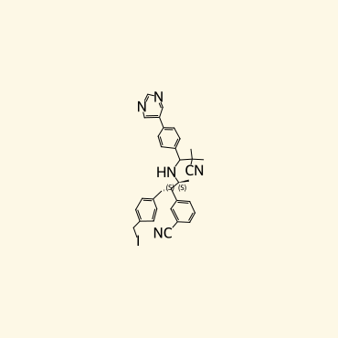 C[C@H](NC(c1ccc(-c2cncnc2)cc1)C(C)(C)C#N)[C@@H](Cc1ccc(CI)cc1)c1cccc(C#N)c1